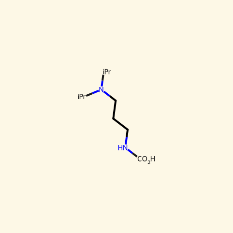 CC(C)N(CCCNC(=O)O)C(C)C